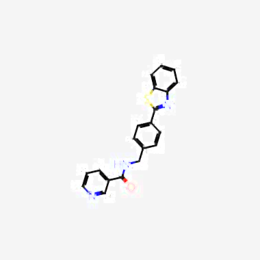 O=C(NCc1ccc(-c2nc3ccccc3s2)cc1)c1cccnc1